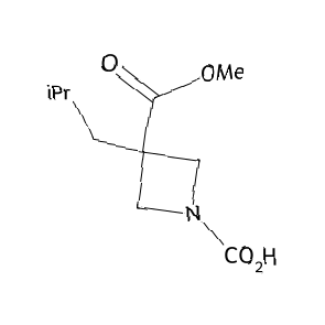 COC(=O)C1(CC(C)C)CN(C(=O)O)C1